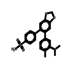 Cc1ccc(-c2cc3c(cc2-c2ccc(S(N)(=O)=O)cc2)OCO3)cc1N(C)C